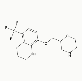 FC(F)(F)c1ccc(OCC2CNCCO2)c2c1CCCN2